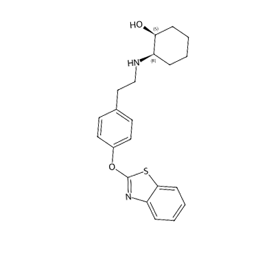 O[C@H]1CCCC[C@H]1NCCc1ccc(Oc2nc3ccccc3s2)cc1